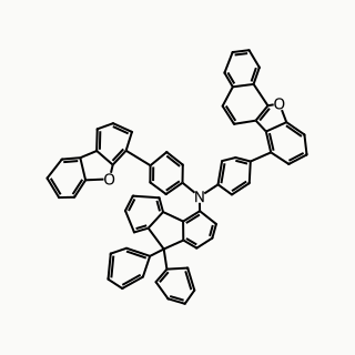 c1ccc(C2(c3ccccc3)c3ccccc3-c3c(N(c4ccc(-c5cccc6c5oc5ccccc56)cc4)c4ccc(-c5cccc6oc7c8ccccc8ccc7c56)cc4)cccc32)cc1